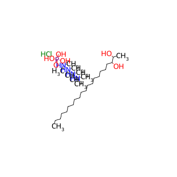 CCCCCCCCCCCCCCCCCCC(O)C(C)O.CNC.CNC.CNC.CNC.Cl.O=P(O)(O)O